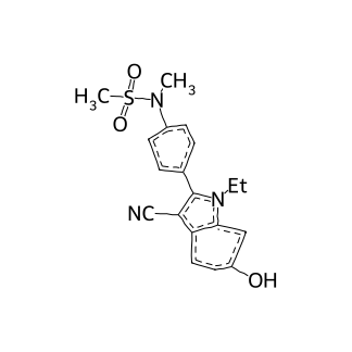 CCn1c(-c2ccc(N(C)S(C)(=O)=O)cc2)c(C#N)c2ccc(O)cc21